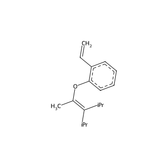 C=Cc1ccccc1OC(C)=C(C(C)C)C(C)C